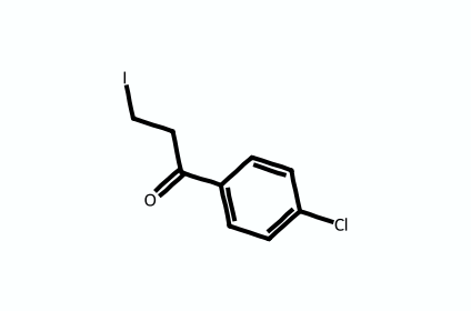 O=C(CCI)c1ccc(Cl)cc1